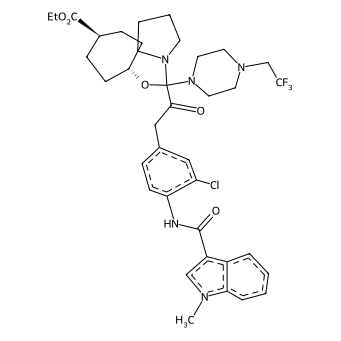 CCOC(=O)[C@H]1CC[C@H](OC(C(=O)Cc2ccc(NC(=O)c3cn(C)c4ccccc34)c(Cl)c2)(N2CCCC2)N2CCN(CC(F)(F)F)CC2)CC1